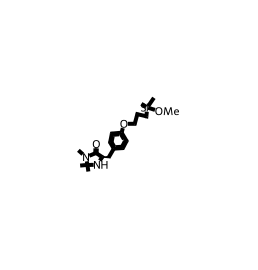 CO[Si](C)(C)CCCOc1ccc(C[C@H]2NC(C)(C)N(C)C2=O)cc1